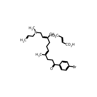 C=CCN(C)CC=C(C)CCC=C(C)CCC(=O)c1ccc(Br)cc1.O=C(O)C=CC(=O)O